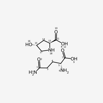 NC(=O)CC[C@@H](N)C(=O)O.O=C(O)[C@@H]1C[C@@H](O)CN1